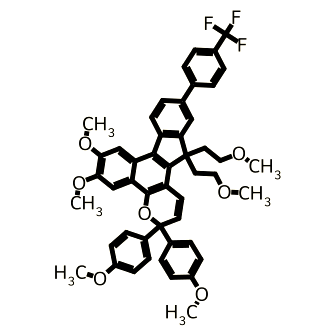 COCCC1(CCOC)c2cc(-c3ccc(C(F)(F)F)cc3)ccc2-c2c1c1c(c3cc(OC)c(OC)cc23)OC(c2ccc(OC)cc2)(c2ccc(OC)cc2)C=C1